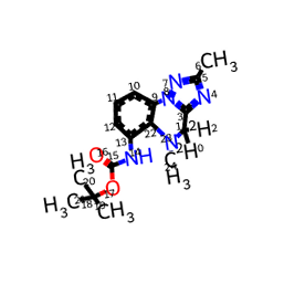 [2H]C1([2H])c2nc(C)nn2-c2cccc(NC(=O)OC(C)(C)C)c2N1C